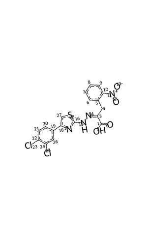 O=C(O)C(Cc1ccccc1[N+](=O)[O-])=NNc1nc(-c2ccc(Cl)c(Cl)c2)cs1